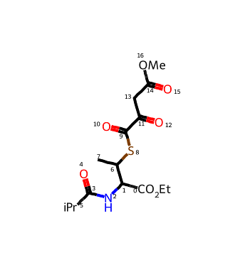 CCOC(=O)C(NC(=O)C(C)C)C(C)SC(=O)C(=O)CC(=O)OC